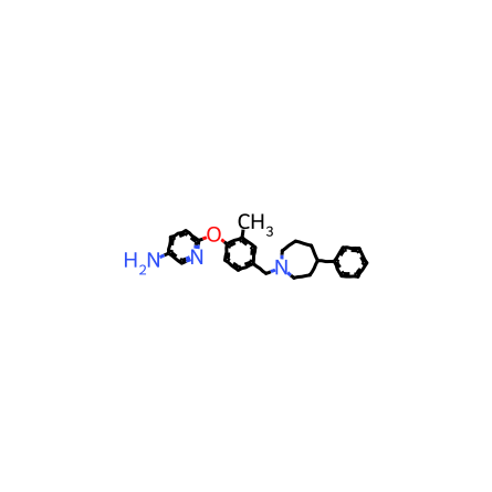 Cc1cc(CN2CCCC(c3ccccc3)CC2)ccc1Oc1ccc(N)cn1